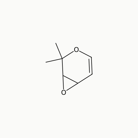 CC1(C)OC=CC2OC21